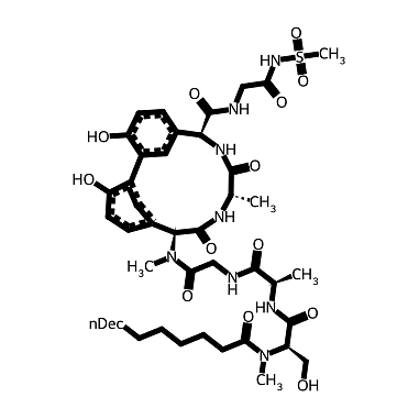 CCCCCCCCCCCCCCCC(=O)N(C)[C@H](CO)C(=O)N[C@H](C)C(=O)NCC(=O)N(C)[C@@H]1C(=O)N[C@@H](C)C(=O)N[C@H](C(=O)NCC(=O)NS(C)(=O)=O)c2ccc(O)c(c2)-c2cc1ccc2O